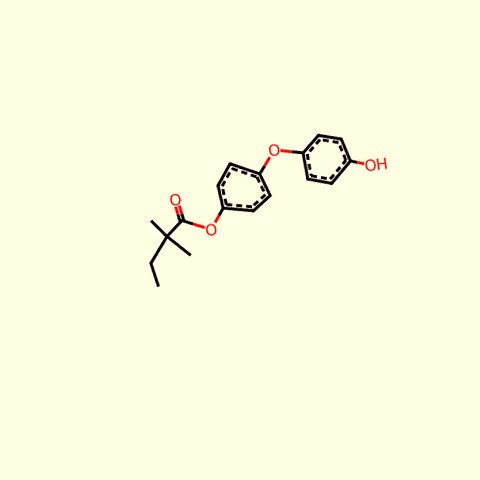 CCC(C)(C)C(=O)Oc1ccc(Oc2ccc(O)cc2)cc1